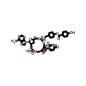 CO[C@H]1[C@H]2O[P@](=O)(SCc3ccc(OC(=O)c4ccc(O)cc4)cc3)OC[C@@H]3C[C@@H](OP(=O)(O)OC[C@H]1O[C@H]2n1ccc(=O)[nH]c1=O)[C@H](n1cnc2c(N)ncnc21)O3